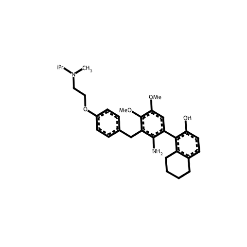 COc1cc(-c2c(O)ccc3c2CCCC3)c(N)c(Cc2ccc(OCCN(C)C(C)C)cc2)c1OC